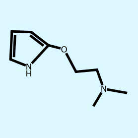 CN(C)CCOc1ccc[nH]1